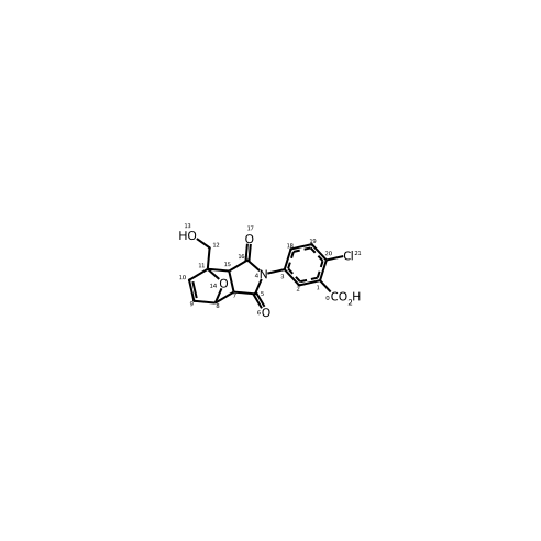 O=C(O)c1cc(N2C(=O)C3C4C=CC(CO)(O4)C3C2=O)ccc1Cl